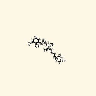 CN1CCN(CCCCNC(=O)CCN(C)Sc2cccc(Cl)c2Cl)CC1